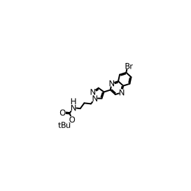 CC(C)(C)OC(=O)NCCCn1cc(-c2cnc3ccc(Br)cc3n2)cn1